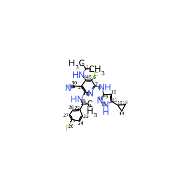 CC(C)Nc1c(F)c(Nc2cc(C3CC3)[nH]n2)nc(N[C@@H](C)c2ccc(F)cc2)c1C#N